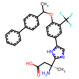 CC(Oc1ccc(-c2cnc([C@@](C)(N)CC(=O)O)[nH]2)cc1C(F)(F)F)c1ccc(-c2ccccc2)cc1